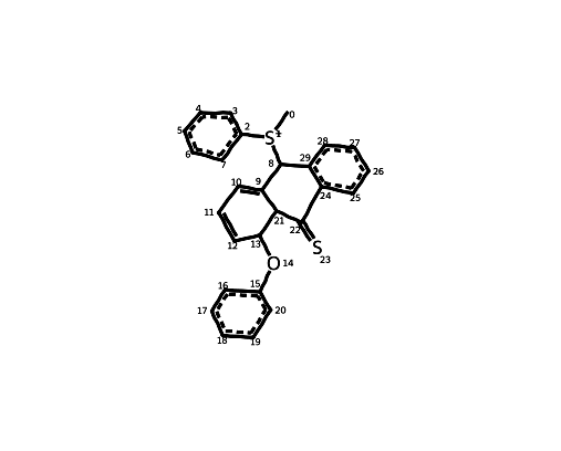 C[S+](c1ccccc1)C1C2=CC=CC(Oc3ccccc3)C2C(=S)c2ccccc21